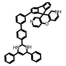 C1=CC2=C(CN1)C1(c3cnccc3O2)c2ccccc2-c2ccc(-c3cccc(-c4ccc(C5NC(c6ccccc6)=CC(c6ccccc6)N5)cc4)c3)cc21